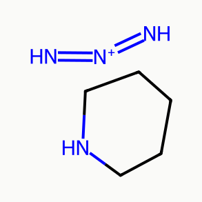 C1CCNCC1.N=[N+]=N